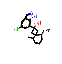 CCCC1CCCC(C)C12CC(O)(c1cc(Cl)cc3cn[nH]c13)C2